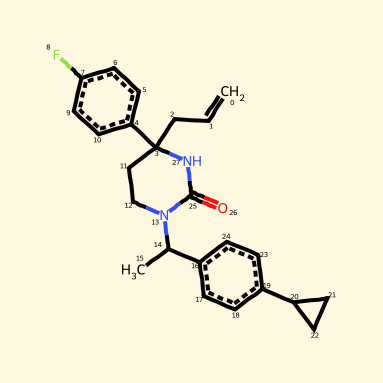 C=CCC1(c2ccc(F)cc2)CCN(C(C)c2ccc(C3CC3)cc2)C(=O)N1